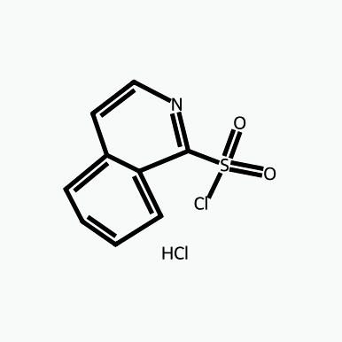 Cl.O=S(=O)(Cl)c1nccc2ccccc12